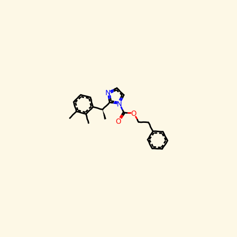 Cc1cccc([C@H](C)c2nccn2C(=O)OCCc2ccccc2)c1C